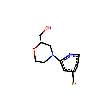 OC[C@H]1CN(c2cc(Br)ccn2)CCO1